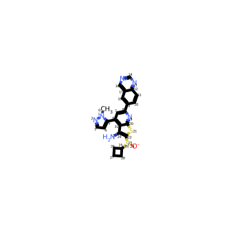 Cn1nccc1-c1cc(-c2ccc3ncncc3c2)nc2sc([S@+]([O-])C3CCC3)c(N)c12